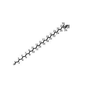 CCCCCCCCCCCCCCCCCCCCCCCCCCCC[N+](C)(C)Cl